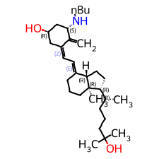 C=C1/C(=C\C=C2/CCC[C@]3(C)[C@@H]([C@H](C)CCCC(C)(C)O)CC[C@@H]23)C[C@@H](O)C[C@@H]1NCCCC